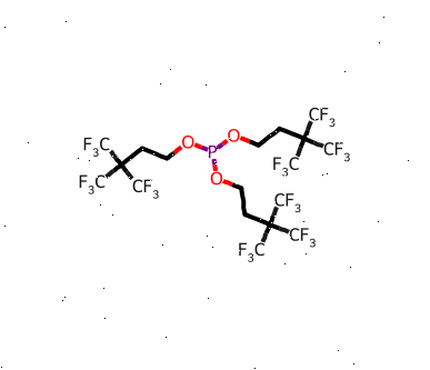 FC(F)(F)C(CCOP(OCCC(C(F)(F)F)(C(F)(F)F)C(F)(F)F)OCCC(C(F)(F)F)(C(F)(F)F)C(F)(F)F)(C(F)(F)F)C(F)(F)F